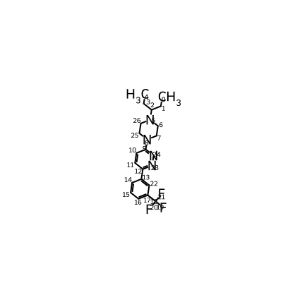 CCC(CC)N1CCN(c2ccc(-c3cccc(C(F)(F)F)c3)nn2)CC1